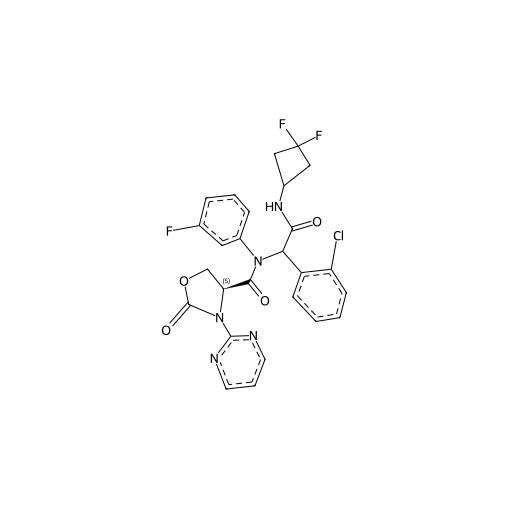 O=C(NC1CC(F)(F)C1)C(c1ccccc1Cl)N(C(=O)[C@@H]1COC(=O)N1c1ncccn1)c1cccc(F)c1